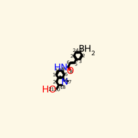 Bc1ccc(/C=C/C(=O)Nc2ccc3c(c2)N(C)CC(CO)C3)cc1